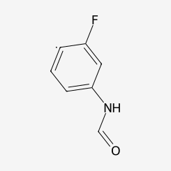 O=CNc1cc[c]c(F)c1